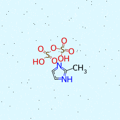 Cc1ncc[nH]1.O=S(=O)(O)OS(=O)(=O)O